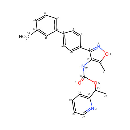 Cc1onc(-c2ccc(-c3cccc(C(=O)O)c3)cc2)c1NC(=O)OC(C)c1ccccn1